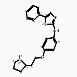 c1ccc(-c2cnc(Nc3ccc(OCCC4CCCN4)cc3)s2)cc1